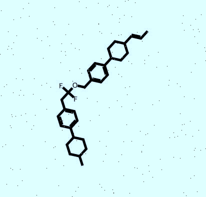 CC=CC1CCC(c2ccc(COC(F)(F)Cc3ccc(C4CCC(C)CC4)cc3)cc2)CC1